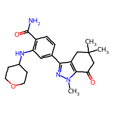 Cn1nc(-c2ccc(C(N)=O)c(NC3CCOCC3)c2)c2c1C(=O)CC(C)(C)C2